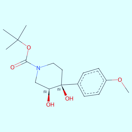 COc1ccc([C@@]2(O)CCN(C(=O)OC(C)(C)C)C[C@@H]2O)cc1